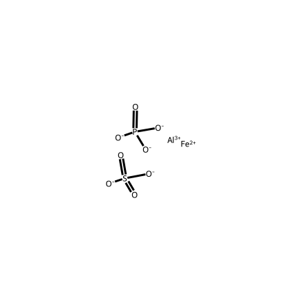 O=P([O-])([O-])[O-].O=S(=O)([O-])[O-].[Al+3].[Fe+2]